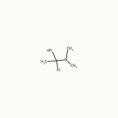 CCCC(C)(CC)N(C)C